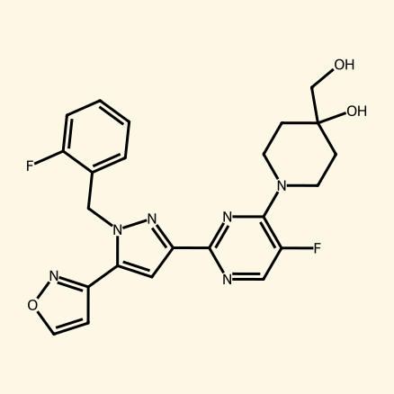 OCC1(O)CCN(c2nc(-c3cc(-c4ccon4)n(Cc4ccccc4F)n3)ncc2F)CC1